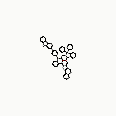 c1ccc(C2(c3ccccc3)c3ccccc3-c3ccc(N(c4ccc(-c5ccc6c(c5)oc5ccccc56)cc4)c4ccccc4-c4cccc5c4oc4c6ccccc6ccc54)cc32)cc1